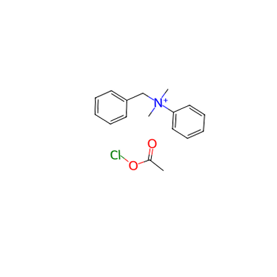 CC(=O)OCl.C[N+](C)(Cc1ccccc1)c1ccccc1